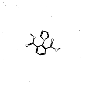 COC(=O)c1cccc(C(=O)OC)c1-n1cccc1